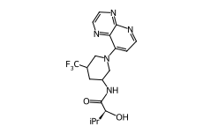 CC(C)[C@H](O)C(=O)NC1CC(C(F)(F)F)CN(c2ccnc3nccnc23)C1